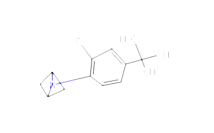 CC(C)(C)c1ccc(N2CC3CC2C3)c(F)c1